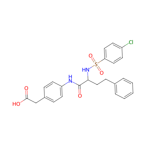 O=C(O)Cc1ccc(NC(=O)C(CCc2ccccc2)NS(=O)(=O)c2ccc(Cl)cc2)cc1